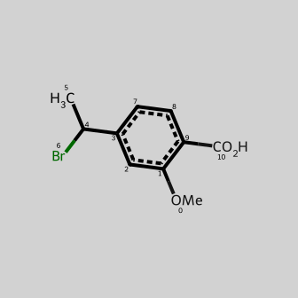 COc1cc(C(C)Br)ccc1C(=O)O